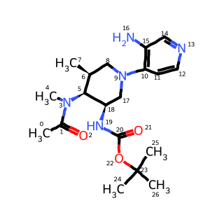 CC(=O)N(C)[C@H]1[C@@H](C)CN(c2ccncc2N)C[C@H]1NC(=O)OC(C)(C)C